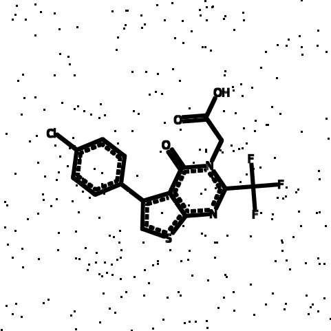 O=C(O)Cn1c(C(F)(F)F)nc2scc(-c3ccc(Cl)cc3)c2c1=O